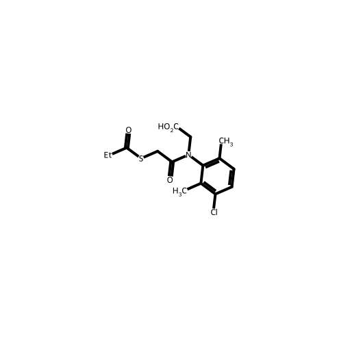 CCC(=O)SCC(=O)N(CC(=O)O)c1c(C)ccc(Cl)c1C